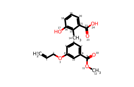 C=CCOc1cccc(C(=O)OC)c1.Cc1c(O)cccc1C(=O)O